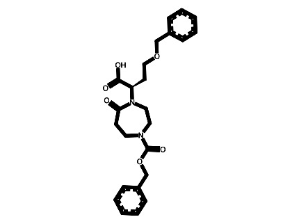 O=C(O)[C@@H](CCOCc1ccccc1)N1CCN(C(=O)OCc2ccccc2)CCC1=O